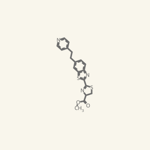 COC(=O)C1CSC(c2nc3ccc(CCc4ccncc4)cc3s2)=N1